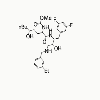 CCCCC(O)CC[C@@H](NC(=O)OC)C(=O)N[C@@H](Cc1cc(F)cc(F)c1)[C@H](O)CNCc1cccc(CC)c1